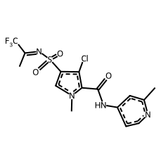 C/C(=N\S(=O)(=O)c1cn(C)c(C(=O)Nc2ccnc(C)c2)c1Cl)C(F)(F)F